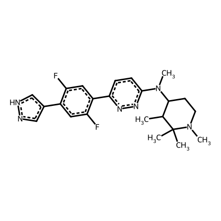 CC1C(N(C)c2ccc(-c3cc(F)c(-c4cn[nH]c4)cc3F)nn2)CCN(C)C1(C)C